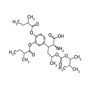 CCC(C)C(=O)Oc1ccc(C(CC(C)OC(=O)OC(C)C(C)C)[C@H](N)C(=O)O)cc1OC(=O)C(C)CC